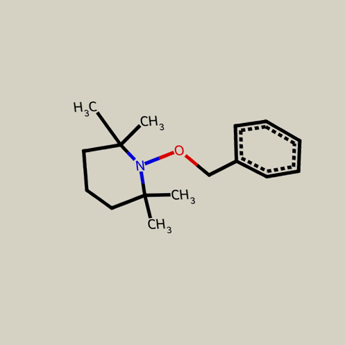 CC1(C)CCCC(C)(C)N1OCc1ccccc1